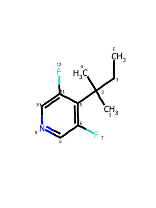 CCC(C)(C)c1c(F)cncc1F